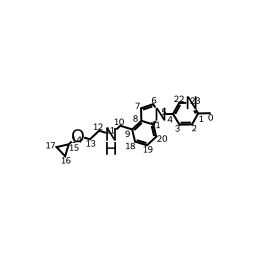 Cc1ccc(-n2ccc3c(CNCCOC4CC4)cccc32)cn1